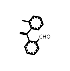 C=C(c1ccccc1C)c1ccccc1C=O